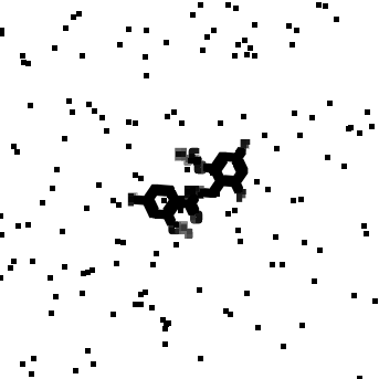 COc1cc(F)cc(F)c1CNC(=O)c1ccc(F)cc1C